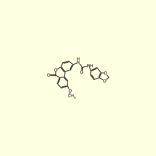 COc1ccc2c(=O)oc3ccc(NC(=O)Nc4ccc5c(c4)OCO5)cc3c2c1